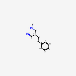 CNCC(C=N)CCc1ccccc1